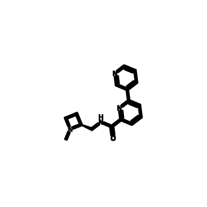 CN1CC[C@H]1CNC(=O)c1cccc(-c2cccnc2)n1